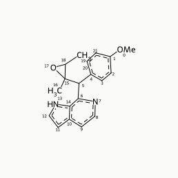 COc1ccc(C(c2nccc3cc[nH]c23)C2(C)OC2C)cc1